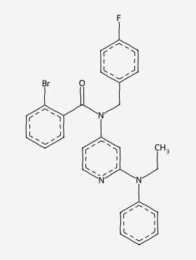 CCN(c1ccccc1)c1cc(N(Cc2ccc(F)cc2)C(=O)c2ccccc2Br)ccn1